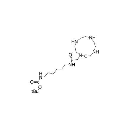 CC(C)(C)OC(=O)NCCCCCCNC(=O)CN1CCNCCNCCNCC1